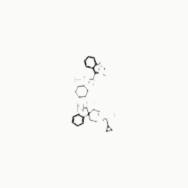 Cn1nc2ccccc2c1C(=O)N[C@H]1CC[C@H](CN2C(=O)C3(CCN(C(=O)C4CC4)CC3)c3ccccc32)CC1